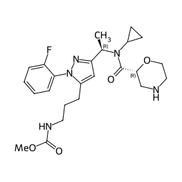 COC(=O)NCCCc1cc([C@@H](C)N(C(=O)[C@H]2CNCCO2)C2CC2)nn1-c1ccccc1F